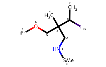 CSNCC(C)(COC(C)C)C(C)I